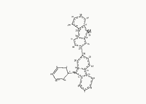 C1=CCC(n2c3ccccc3c3ccc(-c4ccc5c(c4)[nH]c4ccccc45)cc32)C=C1